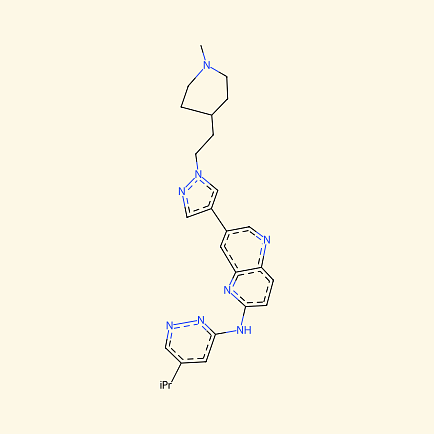 CC(C)c1cnnc(Nc2ccc3ncc(-c4cnn(CCC5CCN(C)CC5)c4)cc3n2)c1